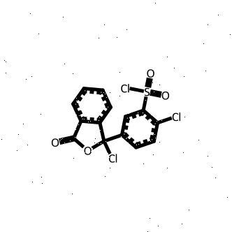 O=C1OC(Cl)(c2ccc(Cl)c(S(=O)(=O)Cl)c2)c2ccccc21